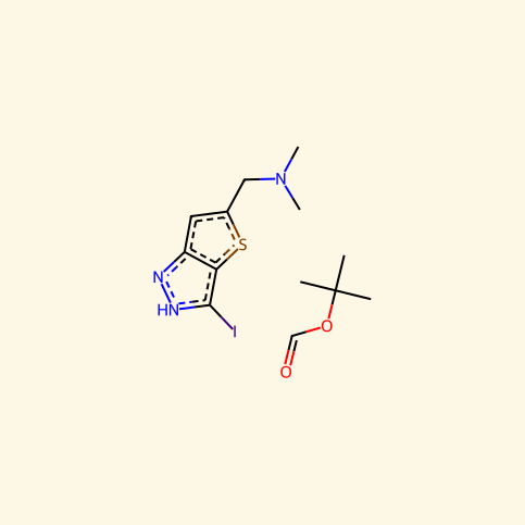 CC(C)(C)OC=O.CN(C)Cc1cc2n[nH]c(I)c2s1